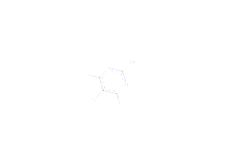 O=[N+]([O-])c1nc(Cl)c([N+](=O)[O-])c(Cl)n1